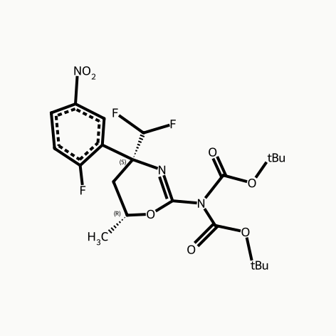 C[C@@H]1C[C@](c2cc([N+](=O)[O-])ccc2F)(C(F)F)N=C(N(C(=O)OC(C)(C)C)C(=O)OC(C)(C)C)O1